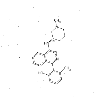 Cc1cccc(O)c1-c1nnc(N[C@@H]2CCCN(C)C2)c2ccccc12